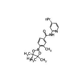 CCCc1ccnc(NC(=O)c2ccc(B3OC(C)(C)C(C)(C)O3)c(C)c2)c1